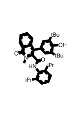 CC(C)c1cccc(C(C)C)c1NC(=O)c1c(-c2cc(C(C)(C)C)c(O)c(C(C)(C)C)c2)c2ccccc2c(=O)n1C